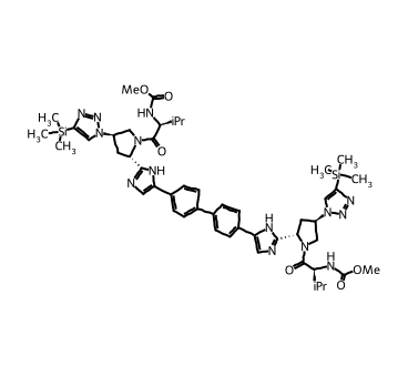 COC(=O)N[C@H](C(=O)N1C[C@H](n2cc([Si](C)(C)C)nn2)C[C@H]1c1ncc(-c2ccc(-c3ccc(-c4cnc([C@@H]5C[C@@H](n6cc([Si](C)(C)C)nn6)CN5C(=O)[C@@H](NC(=O)OC)C(C)C)[nH]4)cc3)cc2)[nH]1)C(C)C